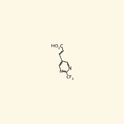 O=C(O)C=Cc1cnc(C(F)(F)F)nc1